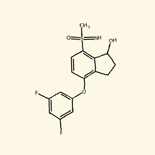 CS(=N)(=O)c1ccc(Oc2cc(F)cc(F)c2)c2c1C(O)CC2